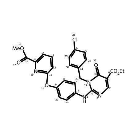 CCOC(=O)c1cnc(Nc2ccc(Oc3cccc(C(=O)OC)n3)cc2)n(Cc2ccc(Cl)cc2)c1=O